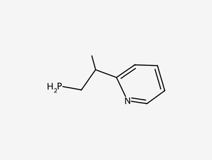 CC(CP)c1ccccn1